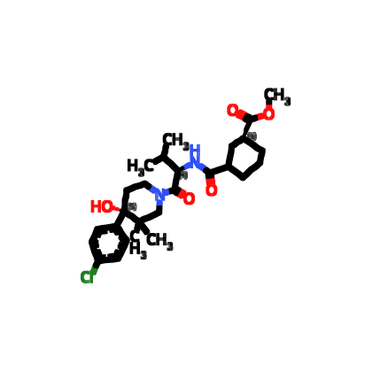 COC(=O)[C@H]1CCCC(C(=O)N[C@@H](C(=O)N2CC[C@](O)(c3ccc(Cl)cc3)C(C)(C)C2)C(C)C)C1